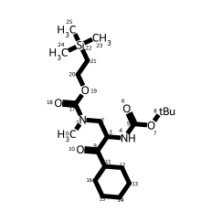 CN(CC(NC(=O)OC(C)(C)C)C(=O)C1CCCCC1)C(=O)OCC[Si](C)(C)C